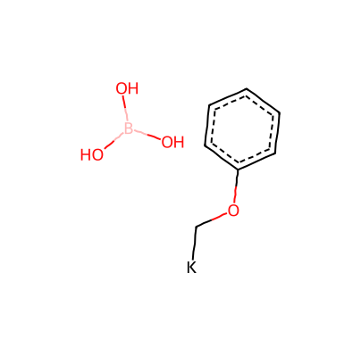 OB(O)O.[K][CH2]Oc1ccccc1